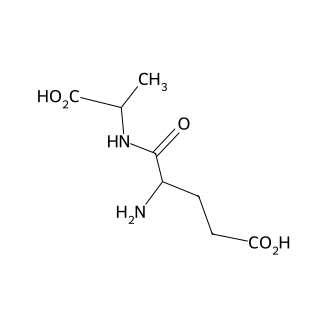 CC(NC(=O)C(N)CCC(=O)O)C(=O)O